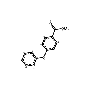 COC(=O)c1ccc(Sc2ccccn2)cc1